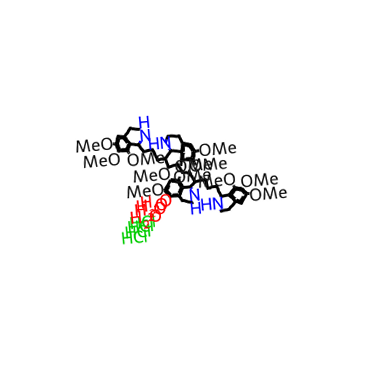 COc1cc2c(c(OC)c1OC)C(CCCC(CCCCC(CCCC1NCCc3cc(OC)c(OC)c(OC)c31)C1NCCc3cc(OC)c(OC)c(OC)c31)C1NCCc3cc(OC)c(OC)c(OC)c31)NCC2.Cl.Cl.Cl.Cl.O.O.O.O